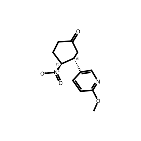 COc1ccc([C@H]2CC(=O)CC[C@@H]2[N+](=O)[O-])cn1